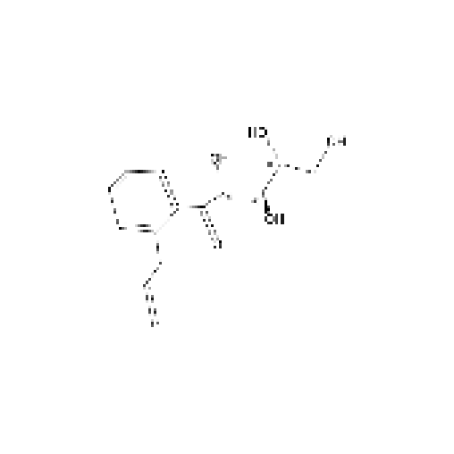 C=CCc1ccccc1C(=O)[C@H](O)[C@H](O)[C@H](O)CO